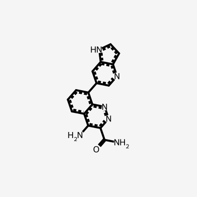 NC(=O)c1nnc2c(-c3cnc4cc[nH]c4c3)cccc2c1N